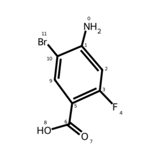 Nc1cc(F)c(C(=O)O)cc1Br